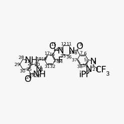 CC(C)n1c(C(F)(F)F)nc2cc(C(=O)N3CCN(C(=O)c4cc(Cc5n[nH]c(=O)c6c5NCCC6)ccc4F)CC3)ccc21